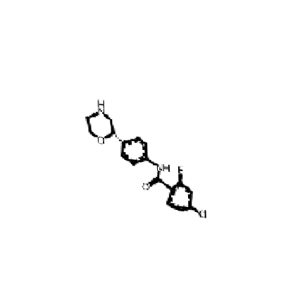 O=C(Nc1ccc([C@H]2CNCCO2)cc1)c1ccc(Cl)cc1F